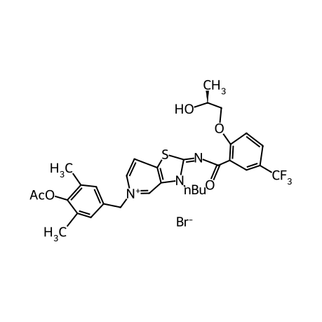 CCCCn1c(=NC(=O)c2cc(C(F)(F)F)ccc2OC[C@H](C)O)sc2cc[n+](Cc3cc(C)c(OC(C)=O)c(C)c3)cc21.[Br-]